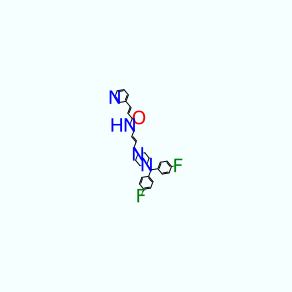 O=C(C=Cc1cccnc1)NCC=CCN1CCN(C(c2ccc(F)cc2)c2ccc(F)cc2)CC1